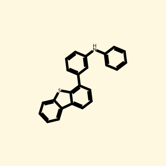 c1ccc(Nc2cccc(-c3cccc4c3sc3ccccc34)c2)cc1